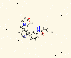 C=CC(=O)Nc1cccc(-c2cc(CN3CCOCC3)ccn2)c1